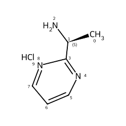 C[C@H](N)c1ncccn1.Cl